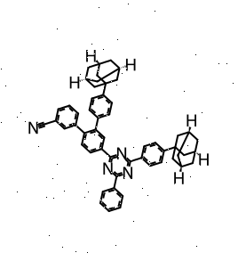 N#Cc1cccc(-c2ccc(-c3nc(-c4ccccc4)nc(-c4ccc(C56C[C@H]7C[C@@H](C5)C[C@@H](C6)C7)cc4)n3)cc2-c2ccc(C34C[C@H]5C[C@@H](C3)C[C@@H](C4)C5)cc2)c1